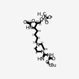 CC(C)(C)OC(=O)NC(=N)N1CCN(CCCCC2NC(=O)OC2COS(C)(=O)=O)CC1